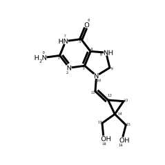 Nc1nc2c(c(=O)[nH]1)NCN2C=C1CC1(CO)CO